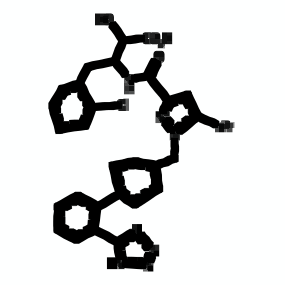 CCCc1cc(C(=O)NC(Cc2ccccc2Cl)C(O)C(=O)O)nn1Cc1ccc(-c2ccccc2-c2nnn[nH]2)cc1